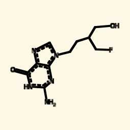 Nc1nc2c(ncn2CCC(CO)CF)c(=O)[nH]1